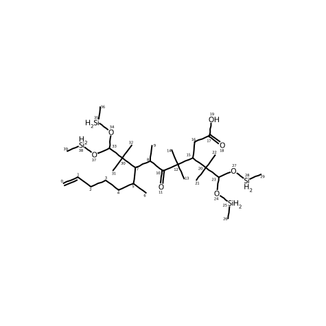 C=CCCCC(C)C(C(C)C(=O)C(C)(C)C(CC(=O)O)C(C)(C)C(O[SiH2]C)O[SiH2]C)C(C)(C)C(O[SiH2]C)O[SiH2]C